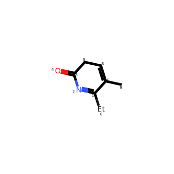 CCC1=NC(=O)CC=C1C